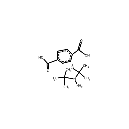 CC(C)(C)N(N)C(C)(C)C.O=C(O)c1ccc(C(=O)O)cc1